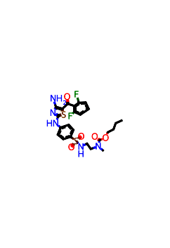 CCCCOC(=O)N(C)CCNS(=O)(=O)c1ccc(Nc2nc(N)c(C(=O)c3c(F)cccc3F)s2)cc1